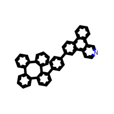 c1ccc2c(c1)-c1ccccc1-c1cccc(-c3ccc(-c4ccc5c6ccccc6c6cnccc6c5c4)cc3)c1-c1ccccc1-2